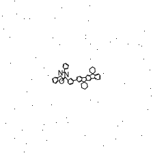 c1ccc(-c2nc(-c3cccc(-c4ccc5c(c4)C4(CCCCC4)c4cc6c(cc4-5)C4(CCCCC4)c4ccccc4-6)c3)c3oc4ccccc4c3n2)cc1